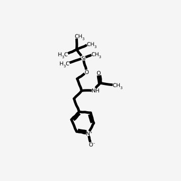 CC(=O)NC(CO[Si](C)(C)C(C)(C)C)Cc1cc[n+]([O-])cc1